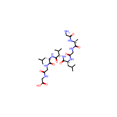 CC(C)C[C@H](NC(=O)CNC(=O)[C@H](C)NC(=O)CN)C(=O)N[C@H](C(=O)N[C@@H](CC(C)C)C(=O)NCC(=O)NCC(=O)O)C(C)C